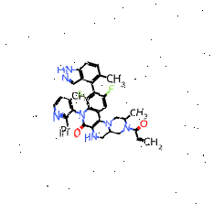 C=CC(=O)N1CC2CNc3c(c4cc(F)c(-c5c(C)ccc6[nH]ncc56)c(F)c4n(-c4c(C)ccnc4C(C)C)c3=O)N2CC1C